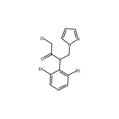 CCc1cccc(CC)c1N(Cn1cccn1)C(=O)CCl